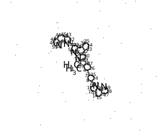 CC1(C)c2cc(-c3ccc(-c4ccc5ccc6cccnc6c5n4)cc3)ccc2-c2cc3c4ccccc4c4cc(-c5ccc6ccc7cccnc7c6n5)cnc4c3nc21